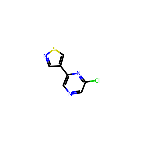 Clc1cncc(-c2cnsc2)n1